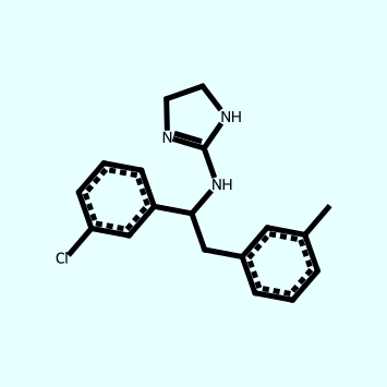 Cc1cccc(CC(NC2=NCCN2)c2cccc(Cl)c2)c1